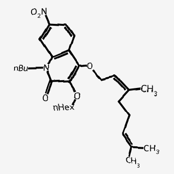 CCCCCCOc1c(OCC=C(C)CCC=C(C)C)c2ccc([N+](=O)[O-])cc2n(CCCC)c1=O